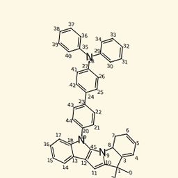 CC1(C)C2=CC=CCC2n2c1cc1c3ccccc3n(-c3ccc(-c4ccc(N(c5ccccc5)c5ccccc5)cc4)cc3)c12